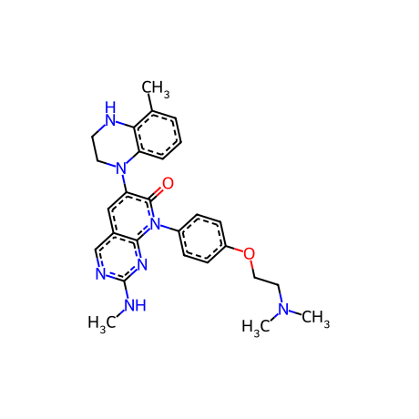 CNc1ncc2cc(N3CCNc4c(C)cccc43)c(=O)n(-c3ccc(OCCN(C)C)cc3)c2n1